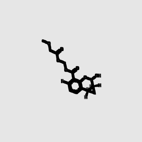 COCC(=O)OCOC(=O)c1c(F)ccc2c1OB(O)[C@@H]1C[C@H]21